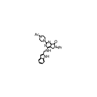 CC(=O)N1CCN(c2nc(NCc3cc4ccccc4[nH]3)c3c(n2)C(=O)N(C(C)C)C3)CC1